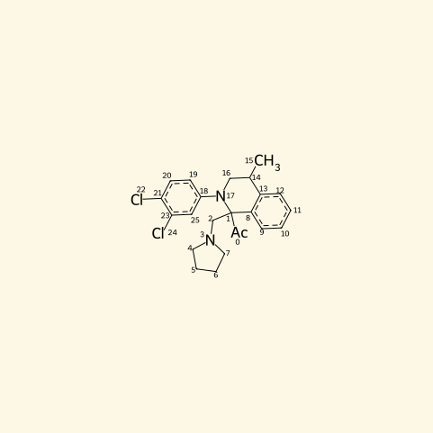 CC(=O)C1(CN2CCCC2)c2ccccc2C(C)CN1c1ccc(Cl)c(Cl)c1